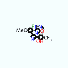 COc1cc(F)cc(-c2cncc(-c3ccc(C(F)(F)F)cc3O)c2N2CC[C@H]3NCCO[C@@H]3C2)c1